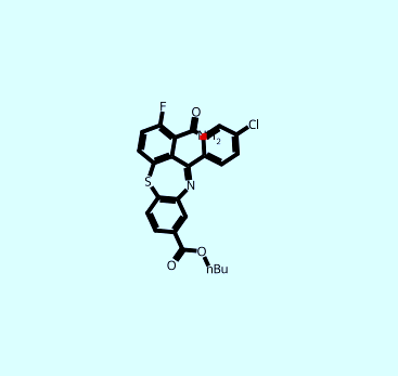 CCCCOC(=O)c1ccc2c(c1)N=C(c1ccc(Cl)cc1)c1c(ccc(F)c1C(N)=O)S2